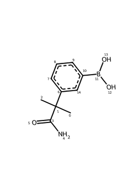 CC(C)(C(N)=O)c1cccc(B(O)O)c1